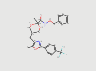 Cc1oc(-c2ccc(C(F)(F)F)cc2)nc1CC1COC(C)(C(=O)NOCc2ccccc2)OC1